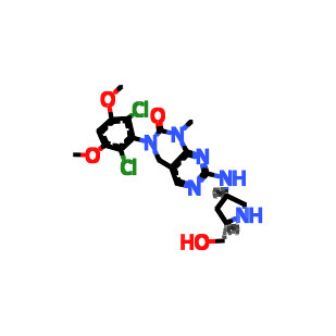 COc1cc(OC)c(Cl)c(N2Cc3cnc(N[C@@H]4CN[C@H](CO)C4)nc3N(C)C2=O)c1Cl